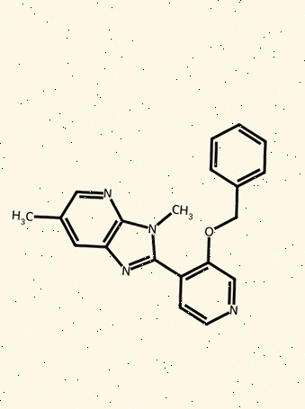 Cc1cnc2c(c1)nc(-c1ccncc1OCc1ccccc1)n2C